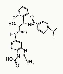 CC(C)c1ccc(C(=O)N[C@@H](c2ccccc2F)[C@@H](O)C(=O)Nc2ccc3c(c2)nc(N)n3C(=O)O)cc1